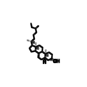 CCC(C)CCC[C@@H](C)C1CCC2C3=CC[C@H]4C[C@@H](O)CC[C@]4(C)C3CC[C@@]21C